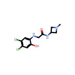 CN1CC(NC(=O)CNc2cc(Cl)c(Cl)cc2O)C1